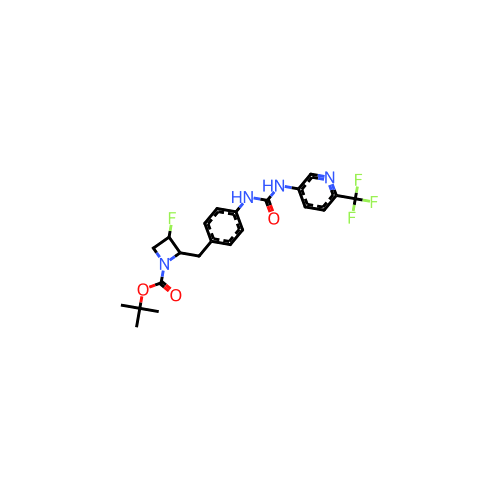 CC(C)(C)OC(=O)N1CC(F)C1Cc1ccc(NC(=O)Nc2ccc(C(F)(F)F)nc2)cc1